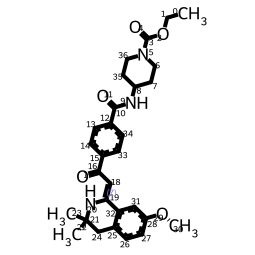 CCOC(=O)N1CCC(NC(=O)c2ccc(C(=O)/C=C3\NC(C)(C)Cc4ccc(OC)cc43)cc2)CC1